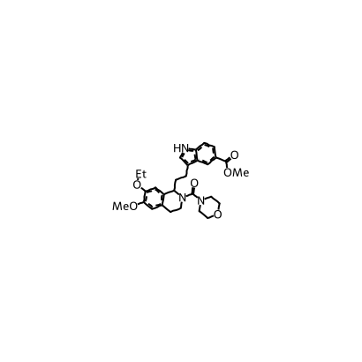 CCOc1cc2c(cc1OC)CCN(C(=O)N1CCOCC1)C2CCc1c[nH]c2ccc(C(=O)OC)cc12